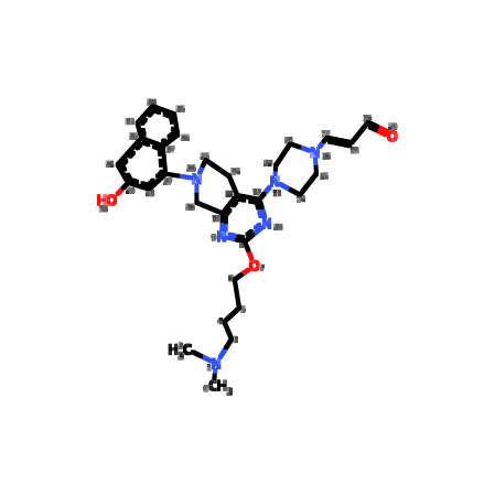 CN(C)CCCCOc1nc2c(c(N3CCN(C=CC=O)CC3)n1)CCN(c1cc(O)cc3ccccc13)C2